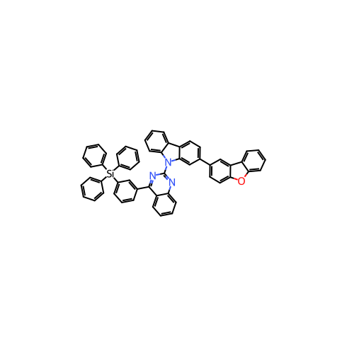 c1ccc([Si](c2ccccc2)(c2ccccc2)c2cccc(-c3nc(-n4c5ccccc5c5ccc(-c6ccc7oc8ccccc8c7c6)cc54)nc4ccccc34)c2)cc1